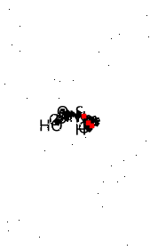 COc1cc(CNC(=S)NCC(COC(=O)C(C)(C)C)Cc2ccc(C)c(C)c2)ccc1OCC(=O)O